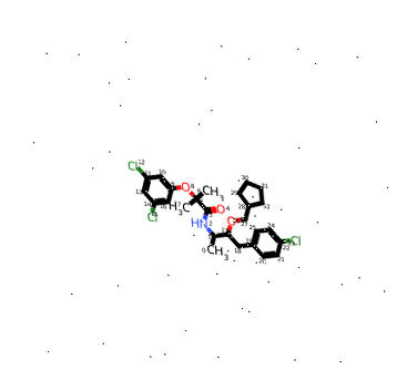 CC(NC(=O)C(C)(C)Oc1cc(Cl)cc(Cl)c1)C(Cc1ccc(Cl)cc1)OCC1CCCC1